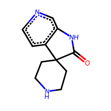 O=C1Nc2cnccc2C12CCNCC2